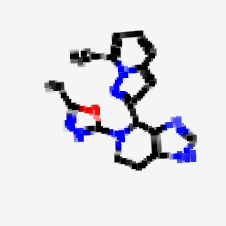 Cc1cccc2cc(C3c4nc[nH]c4CCN3c3nnc(C(C)(C)C)o3)nn12